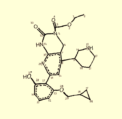 CCOC(=O)N1Cc2c(C3CCCNC3)cc(-c3c(O)cccc3OCC3CC3)nc2NC1=O